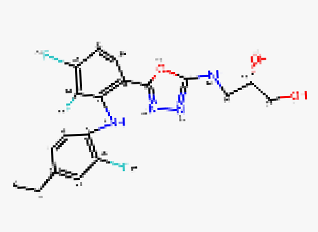 CCc1ccc(Nc2c(-c3nnc(NC[C@H](O)CO)o3)ccc(F)c2F)c(F)c1